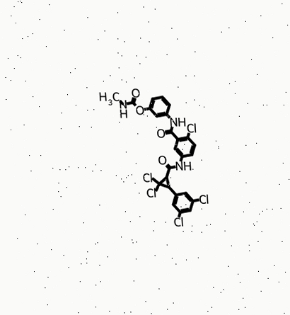 CNC(=O)Oc1cccc(NC(=O)c2cc(NC(=O)C3C(c4cc(Cl)cc(Cl)c4)C3(Cl)Cl)ccc2Cl)c1